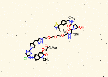 CNC(=O)COc1cc2cc(Nc3nc(N4CCC(Cc5cn(CCOCCOCCOCC(=O)N[C@H](C(=O)N6C[C@H](O)C[C@H]6C(=O)N[C@@H](C)c6ccc(-c7scnc7C)cc6)C(C)(C)C)nn5)CC4)ncc3Cl)ccc2n(C)c1=O